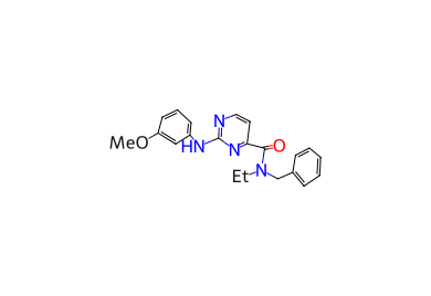 CCN(Cc1ccccc1)C(=O)c1ccnc(Nc2cccc(OC)c2)n1